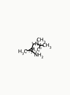 CC1C(N)C1CN(C)C(C)C